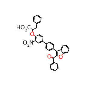 O=C(c1ccccc1)c1oc2ccccc2c1-c1ccc(-c2ccc(O[C@H](Cc3ccccc3)C(=O)O)c([N+](=O)[O-])c2)cc1